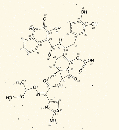 COC(C)O/N=C(\C(=O)NC1C(=O)N2C(OC(=O)O)=C(C(Cc3ccc(O)c(O)c3)NC(=O)c3c(O)c(=O)[nH]c4ccccc34)CS[C@@H]12)c1csc(N)n1